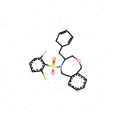 O=S(=O)(c1c(F)cccc1F)N1Cc2ccccc2COCC1CC1C=CC=CC1